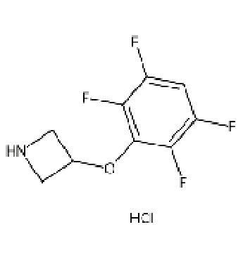 Cl.Fc1cc(F)c(F)c(OC2CNC2)c1F